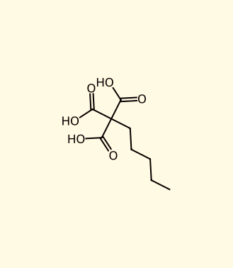 CCCCCC(C(=O)O)(C(=O)O)C(=O)O